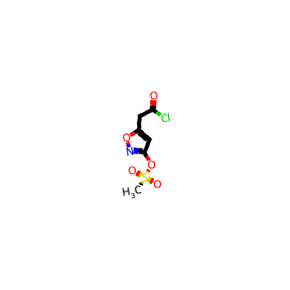 CS(=O)(=O)Oc1cc(CC(=O)Cl)on1